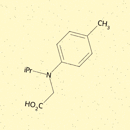 Cc1ccc(N(CC(=O)O)C(C)C)cc1